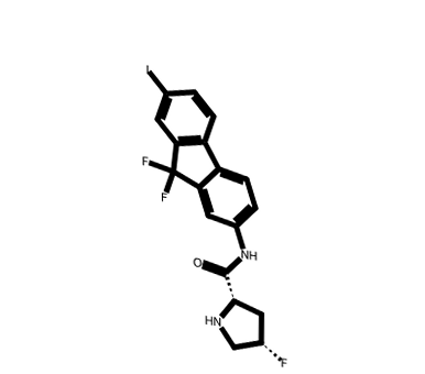 O=C(Nc1ccc2c(c1)C(F)(F)c1cc(I)ccc1-2)[C@@H]1C[C@H](F)CN1